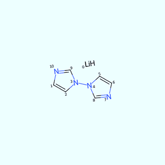 [LiH].c1cn(-n2ccnc2)cn1